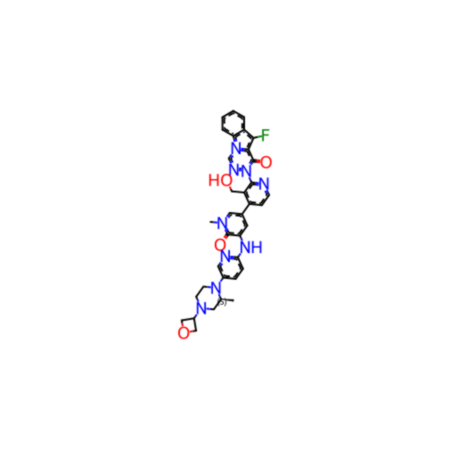 C[C@H]1CN(C2COC2)CCN1c1ccc(Nc2cc(-c3ccnc(-n4ncn5c(c(F)c6ccccc65)c4=O)c3CO)cn(C)c2=O)nc1